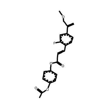 C=C(COC)c1ccc(/C=C/C(=O)Oc2ccc(OC(C)=O)cc2)c(F)c1